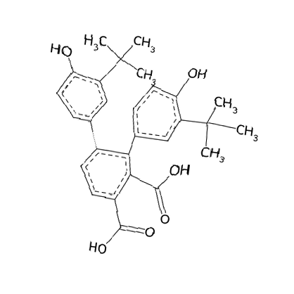 CC(C)(C)c1cc(-c2ccc(C(=O)O)c(C(=O)O)c2-c2ccc(O)c(C(C)(C)C)c2)ccc1O